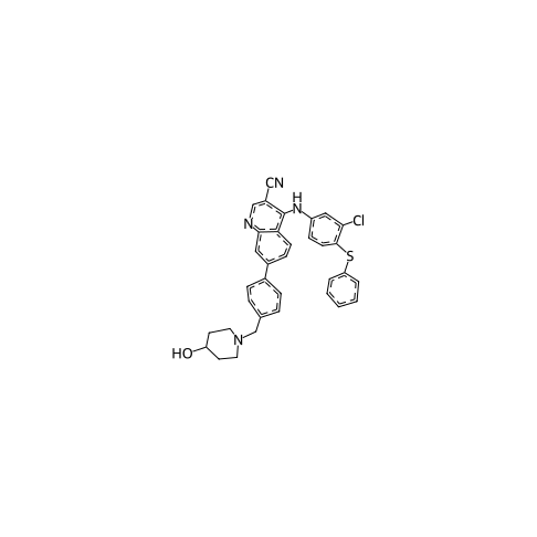 N#Cc1cnc2cc(-c3ccc(CN4CCC(O)CC4)cc3)ccc2c1Nc1ccc(Sc2ccccc2)c(Cl)c1